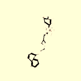 O=S(=O)(NCC1CN(CCOc2cccc3ccccc23)C1)c1ccc(F)c(F)c1